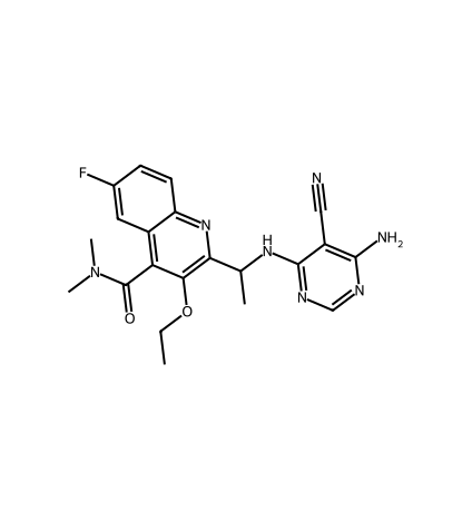 CCOc1c(C(C)Nc2ncnc(N)c2C#N)nc2ccc(F)cc2c1C(=O)N(C)C